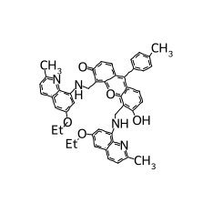 CCOc1cc(NCc2c3oc4c(CNc5cc(OCC)cc6ccc(C)nc56)c(O)ccc4c(-c4ccc(C)cc4)c-3ccc2=O)c2nc(C)ccc2c1